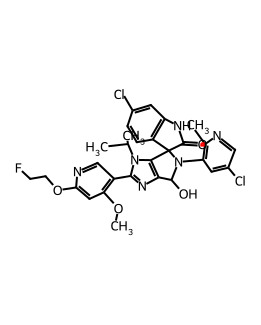 COc1cc(OCCF)ncc1-c1nc2c(n1C(C)C)C1(C(=O)Nc3cc(Cl)ccc31)N(c1cc(Cl)cnc1C)C2O